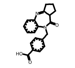 O=C(O)c1ccc(CN2C(=O)C3CCCC3=Nc3ccccc32)cc1